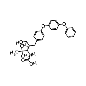 CC(C)(C)C(NC(=O)O)[C@@H](CO)Cc1ccc(Oc2ccc(Oc3ccccc3)cc2)cc1